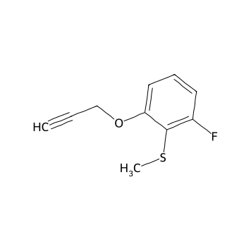 C#CCOc1cccc(F)c1SC